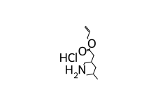 C=CCOC(=O)CC(CN)CC(C)C.Cl